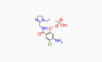 CCN1CCN=C1CNC(=O)c1cc(Cl)c(N)cc1OC.CS(=O)(=O)O